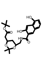 CC(C)(C)OC(=O)CC1CC(CNC(=O)c2cc3cccc(O)c3cc2O)OC(C)(C)O1